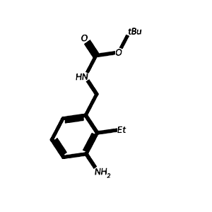 CCc1c(N)cccc1CNC(=O)OC(C)(C)C